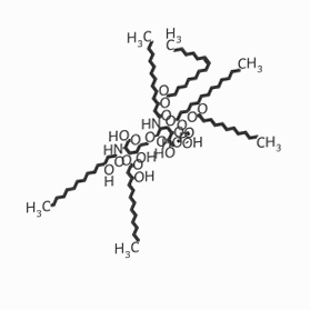 CCCCCC/C=C\CCCCCCCC(=O)OC(CCCCCCCCCCC)CC(=O)N[C@H]1C(OC(=O)CC(CCCCCCCCCCC)OC(=O)CCCCCCCCCCC)C(OP(=O)(O)O)C(CO)O[C@H]1OCC1OC(O)[C@@H](NC(=O)CC(O)CCCCCCCCCCC)C(OC(=O)CC(O)CCCCCCCCCCC)[C@@H]1O